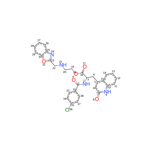 O=C(NC(Cc1cc(=O)[nH]c2ccccc12)C(=O)OCCNCc1nc2ccccc2o1)c1ccc(Cl)cc1